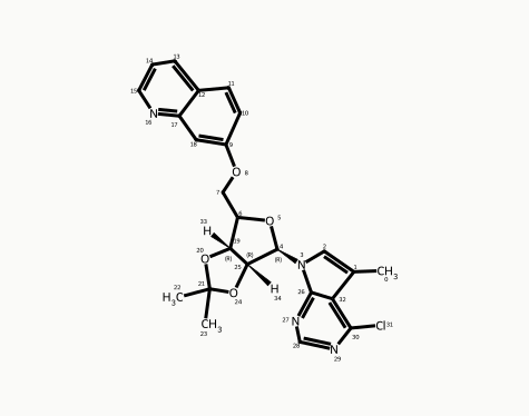 Cc1cn([C@@H]2OC(COc3ccc4cccnc4c3)[C@H]3OC(C)(C)O[C@H]32)c2ncnc(Cl)c12